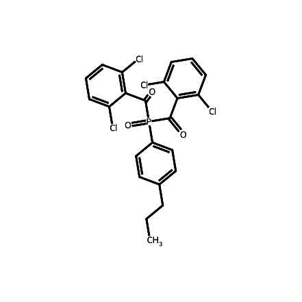 CCCc1ccc(P(=O)(C(=O)c2c(Cl)cccc2Cl)C(=O)c2c(Cl)cccc2Cl)cc1